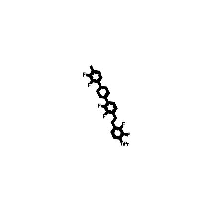 CCCc1ccc(CCc2ccc(C3=CCC(c4ccc(C)c(F)c4F)CC3)c(F)c2F)c(F)c1F